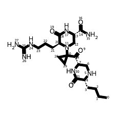 CCCC[C@H]1NC[C@@H](C(=O)C2(N3C[C@@H](C(N)=O)NC(=O)[C@@H]3CCCNC(=N)N)CC2)NC1=O